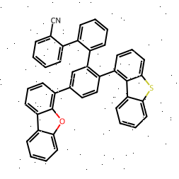 N#Cc1ccccc1-c1ccccc1-c1cc(-c2cccc3c2oc2ccccc23)ccc1-c1cccc2sc3ccccc3c12